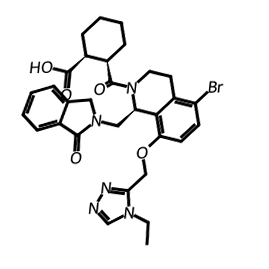 CCn1cnnc1COc1ccc(Br)c2c1[C@@H](CN1Cc3ccccc3C1=O)N(C(=O)[C@@H]1CCCC[C@@H]1C(=O)O)CC2